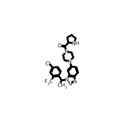 CC(c1ccc(Cl)cc1C(F)(F)F)n1nnc2ccc(N3CCN(C(=O)C4CCCN4)CC3)cc21